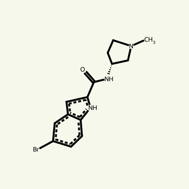 CN1CC[C@@H](NC(=O)c2cc3cc(Br)ccc3[nH]2)C1